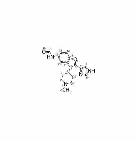 CN1CCC(c2c(-c3c[nH]cn3)oc3ccc(NC=O)cc23)CC1